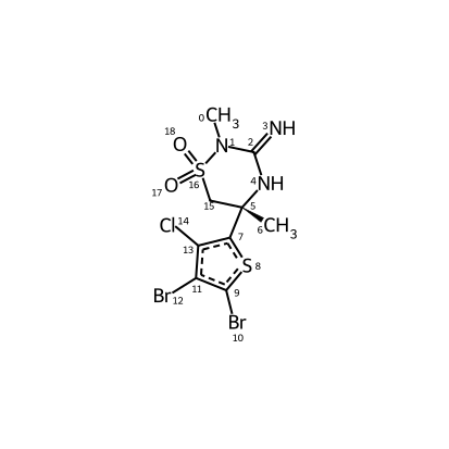 CN1C(=N)N[C@](C)(c2sc(Br)c(Br)c2Cl)CS1(=O)=O